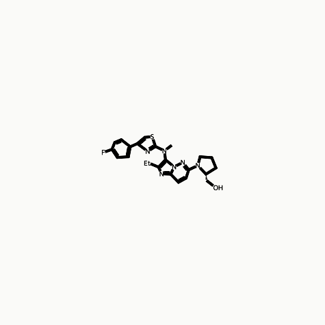 CCc1nc2ccc(N3CCC[C@@H]3CO)nn2c1N(C)c1nc(-c2ccc(F)cc2)cs1